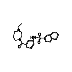 CCN1CCCN(C(=O)c2cccc(NS(=O)(=O)c3ccc4ccccc4c3)c2)CC1